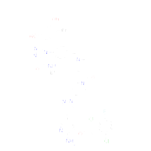 CCNC(=O)c1nnc(-c2cc(C(C)C)c(O)cc2O)n1-c1ccc(CN2CCC(C(=O)N3CCC(n4cc(-c5cnc(N)c(OCCc6c(Cl)ccc(F)c6Cl)c5)cn4)CC3)CC2)cc1